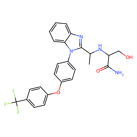 CC(NC(CO)C(N)=O)c1nc2ccccc2n1-c1ccc(Oc2ccc(C(F)(F)F)cc2)cc1